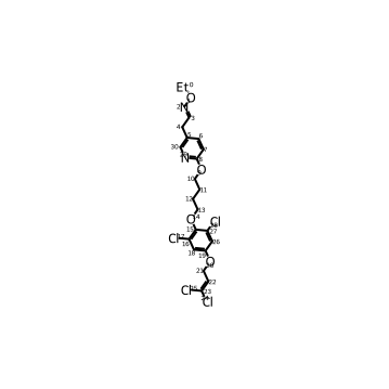 CCO/N=C/Cc1ccc(OCCCCOc2c(Cl)cc(OCC=C(Cl)Cl)cc2Cl)nc1